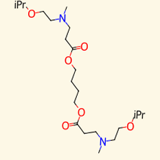 CC(C)OCCN(C)CCC(=O)OCCCCOC(=O)CCN(C)CCOC(C)C